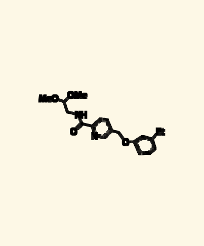 CCc1cccc(OCc2ccc(C(=O)NCC(OC)OC)nc2)c1